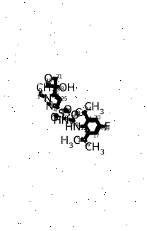 CCn1nc(S(=O)(=O)NC(=O)Nc2c(C(C)C)cc(F)cc2C(C)C)cc1C1(O)COC1